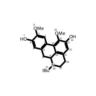 COc1cc2c(cc1O)CC1c3c(cc(O)c(OC)c3-2)CCN1C(C)(C)C